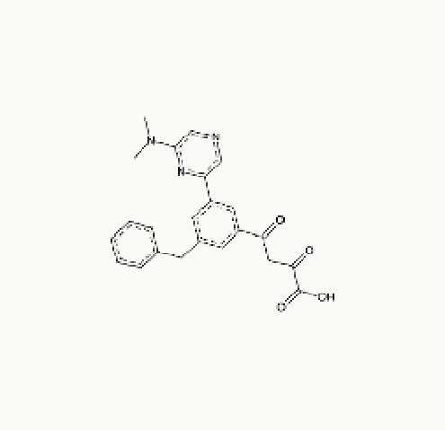 CN(C)c1cncc(-c2cc(Cc3ccccc3)cc(C(=O)CC(=O)C(=O)O)c2)n1